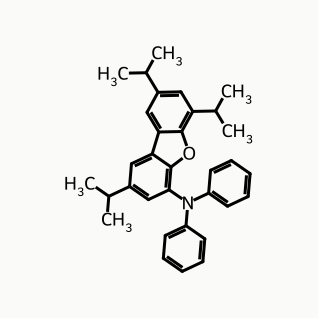 CC(C)c1cc(C(C)C)c2oc3c(N(c4ccccc4)c4ccccc4)cc(C(C)C)cc3c2c1